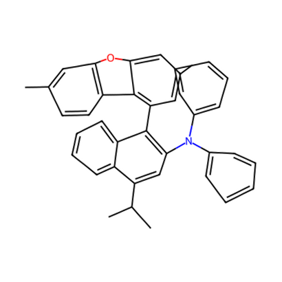 Cc1ccc2c(c1)oc1cc(C)cc(-c3c(N(c4ccccc4)c4ccccc4)cc(C(C)C)c4ccccc34)c12